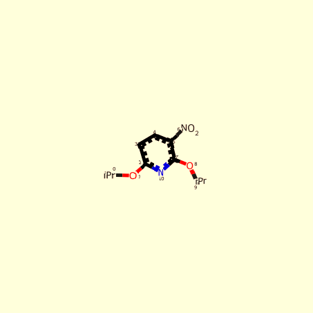 CC(C)Oc1ccc([N+](=O)[O-])c(OC(C)C)n1